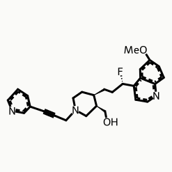 COc1ccc2nccc([C@@H](F)CC[C@@H]3CCN(CC#Cc4cccnc4)C[C@@H]3CO)c2c1